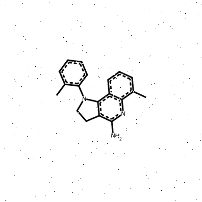 Cc1ccccc1N1CCc2c(N)nc3c(C)cccc3c21